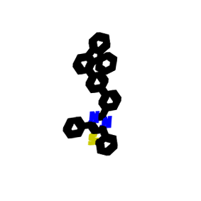 c1ccc(-c2nc(-c3cccc(-c4ccc(-c5cccc6c5C5(CCCCC5)c5ccccc5-6)cc4)c3)nc3c2sc2ccccc23)cc1